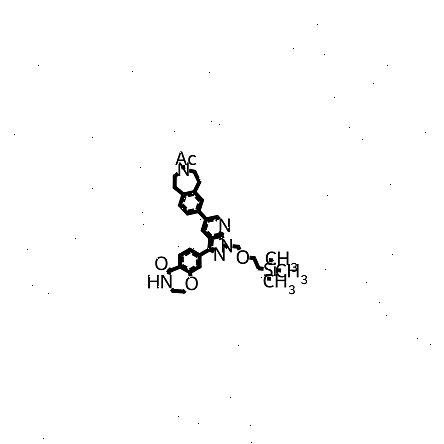 CC(=O)N1CCc2ccc(-c3cnc4c(c3)c(-c3ccc5c(c3)OCCNC5=O)nn4COCC[Si](C)(C)C)cc2CC1